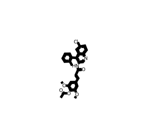 COc1cc(C=CC(=O)Nc2cnc3ccc(Cl)cc3c2-c2ccccc2C)cc(OC)c1OC(C)=O